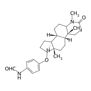 CN1C(=O)CC[C@@]2(C)C1CC[C@@H]1[C@H]2CC[C@]2(C)C(Oc3ccc(NC=O)cc3)CC[C@@H]12